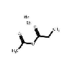 CCC(=O)OC(C)=O.[Rh].[Rh]